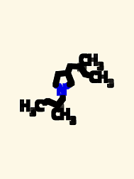 CC[C@H](C)CC1CCN(C[C@@H](C)CC)C1